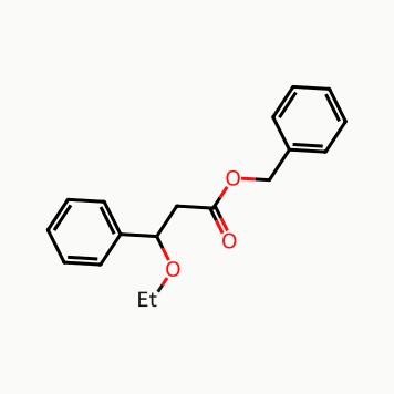 CCOC(CC(=O)OCc1ccccc1)c1ccccc1